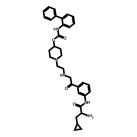 NC(CC1CC1)C(=O)Nc1cccc(C(=O)CNCCN2CCC(OC(=O)Nc3ccccc3-c3ccccc3)CC2)c1